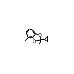 Cc1cccc2c1OC(C)(C1CC1)O2